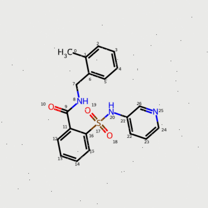 Cc1ccccc1CNC(=O)c1ccccc1S(=O)(=O)Nc1cccnc1